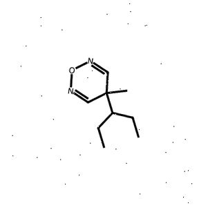 CCC(CC)C1(C)C=NON=C1